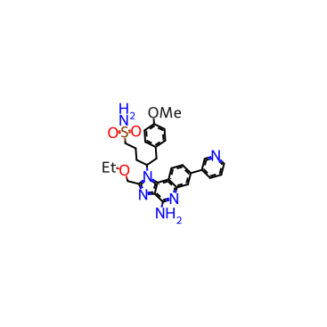 CCOCc1nc2c(N)nc3cc(-c4cccnc4)ccc3c2n1C(CCCS(N)(=O)=O)Cc1ccc(OC)cc1